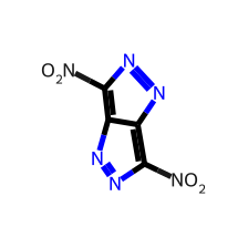 O=[N+]([O-])C1=C2N=NC([N+](=O)[O-])=C2N=N1